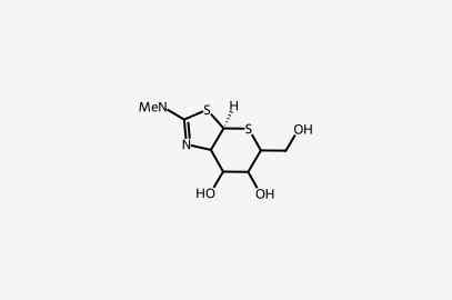 CNC1=NC2C(O)C(O)C(CO)S[C@@H]2S1